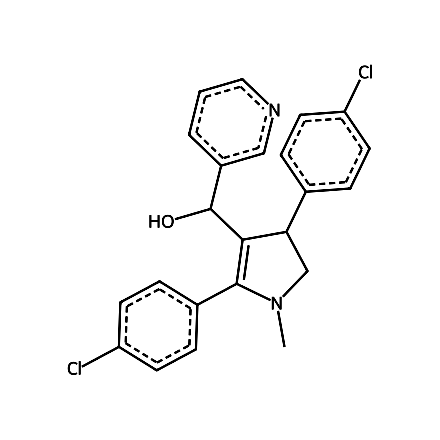 CN1CC(c2ccc(Cl)cc2)C(C(O)c2cccnc2)=C1c1ccc(Cl)cc1